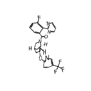 O=C(c1cccc(F)c1-c1ncccn1)N1C[C@@H]2CC[C@H]1[C@H](Oc1ccc(C(F)(F)F)cn1)C2